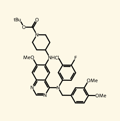 COc1cc2ncnc(N(Cc3ccc(OC)c(OC)c3)c3ccc(F)c(Cl)c3)c2cc1NC1CCN(C(=O)OC(C)(C)C)CC1